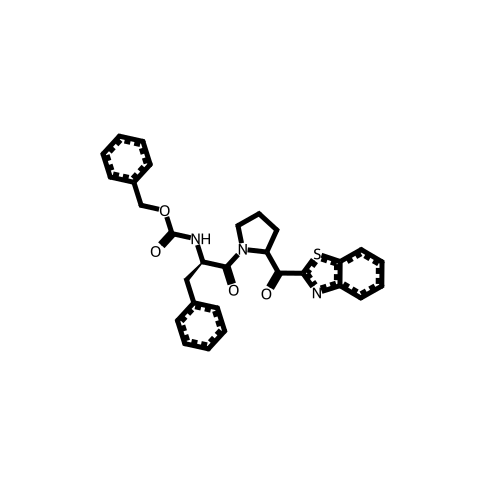 O=C(N[C@H](Cc1ccccc1)C(=O)N1CCCC1C(=O)c1nc2ccccc2s1)OCc1ccccc1